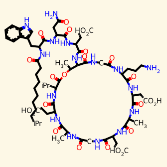 CC(C)CCCCCCCCC(=O)NC(Cc1c[nH]c2ccccc12)C(=O)NC(CC(N)=O)C(=O)NC(CC(=O)O)C(=O)NC1C(=O)NCC(=O)NC(CCCN)C(=O)NC(CC(=O)O)C(=O)NC(C)C(=O)NC(CC(=O)O)C(=O)NCC(=O)NC(C)C(=O)NC(CCC(=O)O)C(=O)NC(C(C)C)C(=O)OC1C